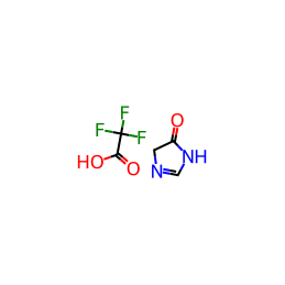 O=C(O)C(F)(F)F.O=C1CN=CN1